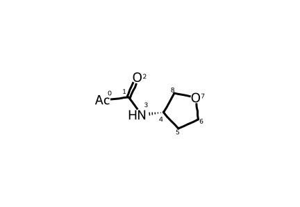 CC(=O)C(=O)N[C@H]1CCOC1